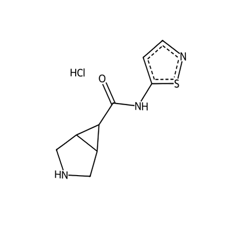 Cl.O=C(Nc1ccns1)C1C2CNCC21